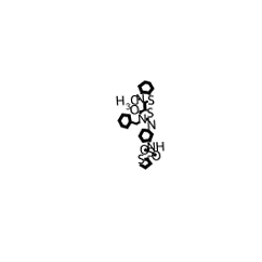 CN1C(=C2SC(=Nc3cccc(NS(=O)(=O)c4cccs4)c3)N(Cc3ccccc3)C2=O)Sc2ccccc21